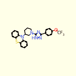 FC(F)(F)Oc1ccc(-c2n[nH]c(N3CCCC(N4c5ccccc5Sc5ccccc54)C3)n2)cc1